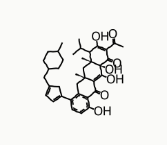 CC(=O)C1=C(O)C(C(C)C)[C@@]2(C)C[C@@]3(C)Cc4c(C5=CC=C(CC6CCC(C)CC6)C5)ccc(O)c4C(=O)C3=C(O)[C@@]2(O)C1=O